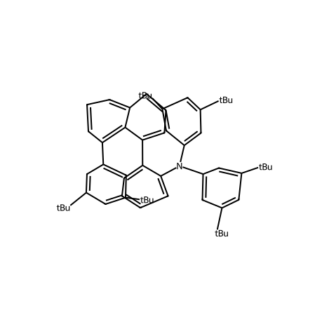 CC(C)(C)c1cc(-c2cccc3cccc(-c4ccccc4N(c4cc(C(C)(C)C)cc(C(C)(C)C)c4)c4cc(C(C)(C)C)cc(C(C)(C)C)c4)c23)cc(C(C)(C)C)c1